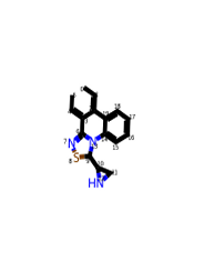 C/C=C1\C(=C/C)C2=NSC(C3CN3)N2c2ccccc21